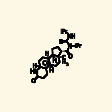 CC(C)NC(=S)N(C(=O)[C@H]1CC[C@H]2[C@@H]3CC[C@H]4NC(=O)CC[C@]4(C)[C@H]3CC[C@]12C)C(C)C